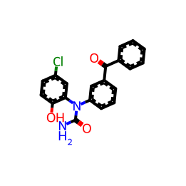 NC(=O)N(c1cccc(C(=O)c2ccccc2)c1)c1cc(Cl)ccc1O